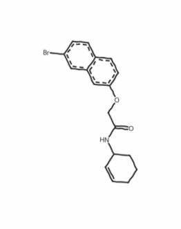 O=C(COc1ccc2ccc(Br)cc2c1)NC1C=CCCC1